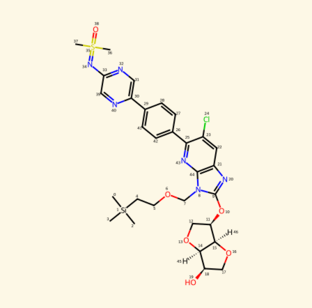 C[Si](C)(C)CCOCn1c(O[C@@H]2CO[C@H]3[C@@H]2OC[C@H]3O)nc2cc(Cl)c(-c3ccc(-c4cnc(N=S(C)(C)=O)cn4)cc3)nc21